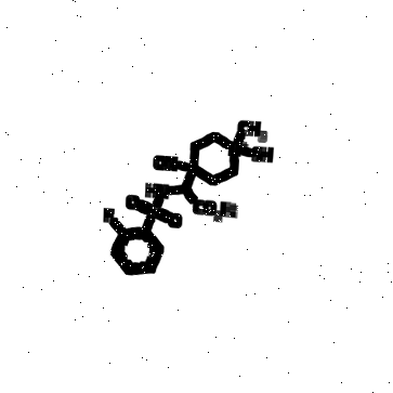 CCOC(=O)C(NS(=O)(=O)c1ccccc1F)C1(N=O)CC[N+](C)(S)CC1